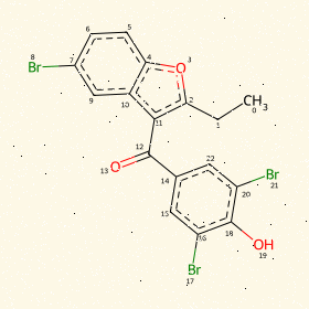 CCc1oc2ccc(Br)cc2c1C(=O)c1cc(Br)c(O)c(Br)c1